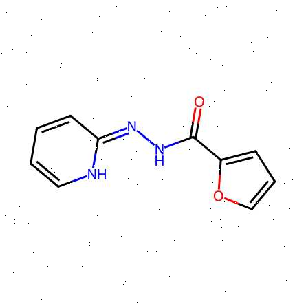 O=C(NN=c1cccc[nH]1)c1ccco1